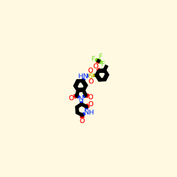 Cc1cccc(S(=O)(=O)Nc2ccc3c(c2)C(=O)N(C2CCC(=O)NC2=O)C3=O)c1OC(F)(F)F